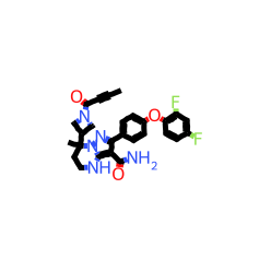 CC#CC(=O)N1CC(C2(C)CCNc3c(C(N)=O)c(-c4ccc(Oc5ccc(F)cc5F)cc4)nn32)C1